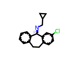 Clc1ccc2c(c1)/C(=N\CC1CC1)c1ccccc1CC2